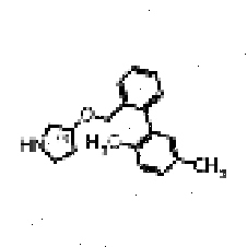 Cc1ccc(C)c(-c2ccccc2CO[C@H]2CCNC2)c1